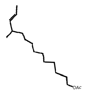 C/C=C/C(C)CCCCCCCCCCOC(C)=O